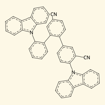 N#Cc1ccc(-c2ccc(-n3c4ccccc4c4ccccc43)c(C#N)c2)c(-c2ccccc2-n2c3ccccc3c3ccccc32)c1